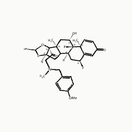 CCCC1O[C@@H]2CC3[C@@H]4C[C@H](F)C5=CC(=O)C=C[C@]5(C)[C@@]4(F)[C@@H](O)C[C@]3(C)[C@]2(C(=O)CN(C)Cc2ccc(OC)cc2)O1